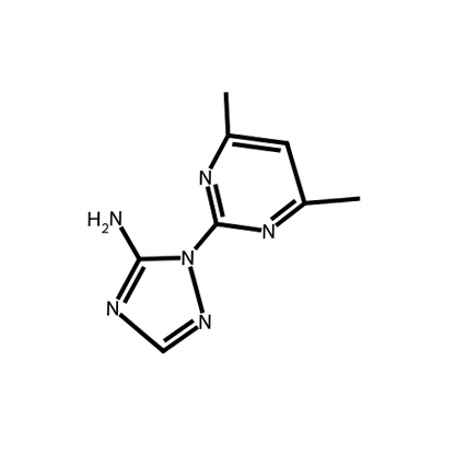 Cc1cc(C)nc(-n2ncnc2N)n1